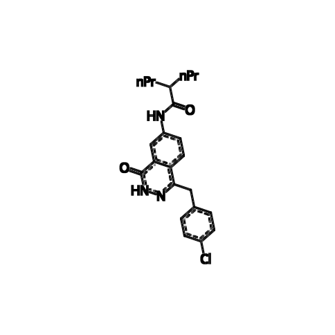 CCCC(CCC)C(=O)Nc1ccc2c(Cc3ccc(Cl)cc3)n[nH]c(=O)c2c1